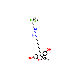 CC1(c2ccc(O)cc2)COc2cc(O)ccc2C1CCCCCCCCCNC=NNCCCC(F)(F)C(F)(F)F